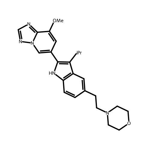 COc1cc(-c2[nH]c3ccc(CCN4CCOCC4)cc3c2C(C)C)cn2ncnc12